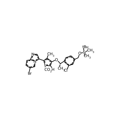 Cc1c(-c2cnc3ccc(Br)cn23)sc(C(=O)O)c1O[C@H](C)c1ccc(CO[Si](C)(C)C(C)(C)C)cc1Cl